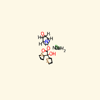 C[N+]1(C)[C@@H]2CC(OC(=O)C(O)(c3cccs3)c3cccs3)C[C@H]1[C@@H]1O[C@@H]12.[Br-].[CaH2].[NaH]